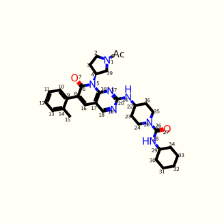 CC(=O)N1CC[C@H](n2c(=O)c(-c3ccccc3C)cc3cnc(NC4CCN(C(=O)NC5CCCCC5)CC4)nc32)C1